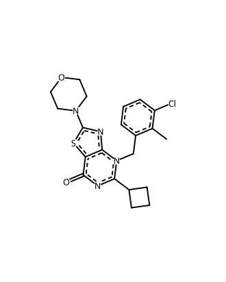 Cc1c(Cl)cccc1Cn1c(C2CCC2)nc(=O)c2sc(N3CCOCC3)nc21